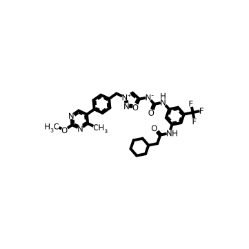 COc1ncc(-c2ccc(C[n+]3cc([N-]C(=O)Nc4cc(NC(=O)CC5CCCCC5)cc(C(F)(F)F)c4)on3)cc2)c(C)n1